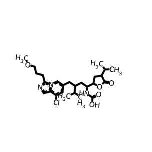 COCCCc1ncc2c(Cl)cc(CC(CC(NC(=O)O)C3CC(C(C)C)C(=O)O3)C(C)C)cn12